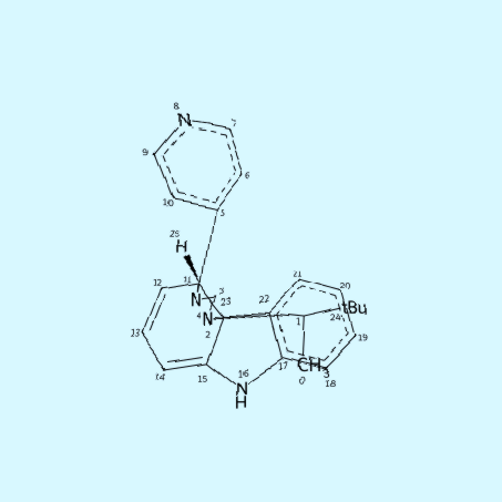 CC(N1CN(c2ccncc2)[C@@H]2C=CC=C3Nc4ccccc4C321)C(C)(C)C